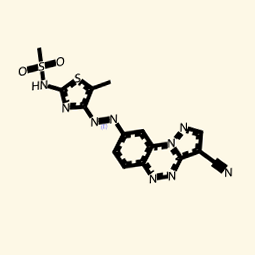 Cc1sc(NS(C)(=O)=O)nc1/N=N/c1ccc2nnc3c(C#N)cnn3c2c1